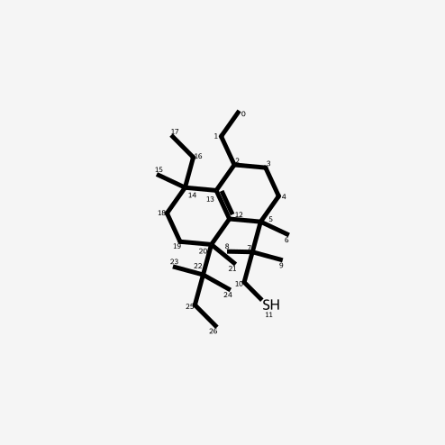 CCC1CCC(C)(C(C)(C)CS)C2=C1C(C)(CC)CCC2(C)C(C)(C)CC